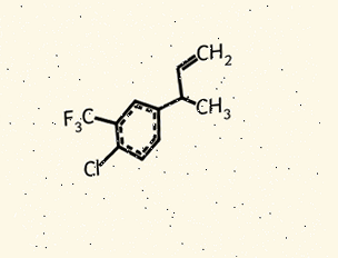 C=C[C](C)c1ccc(Cl)c(C(F)(F)F)c1